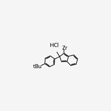 CC(C)(C)c1ccc(C2(C)C=c3ccccc3=[C]2[Zr])cc1.Cl